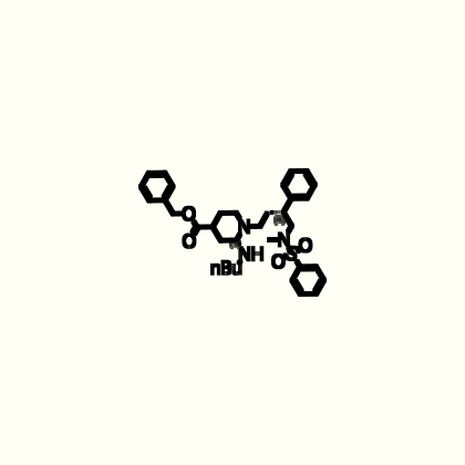 CCCCN[C@@H]1CC(C(=O)OCc2ccccc2)CCN1CC[C@@H](CN(C)S(=O)(=O)c1ccccc1)c1ccccc1